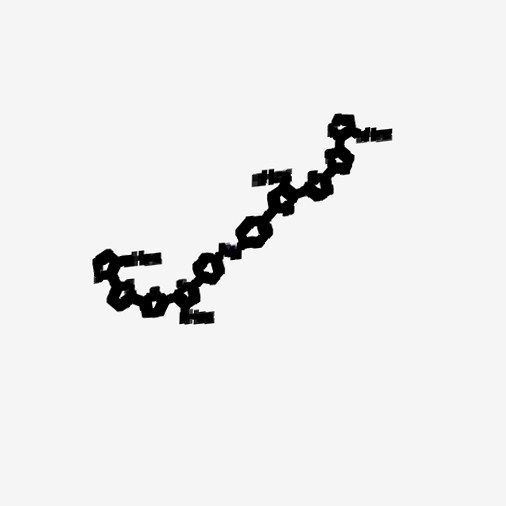 CCCCCCc1ccsc1-c1ccc(-c2ccc(-c3sc(-c4ccc(/N=N/c5ccc(-c6cc(CCCCCC)c(-c7ccc(-c8ccc(-c9sccc9CCCCCC)s8)s7)s6)cc5)cc4)cc3CCCCCC)s2)s1